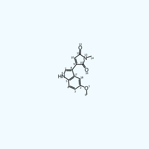 COc1ccc2[nH]cc(C3=CC(=O)N(C)C3=O)c2c1